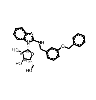 OC[C@H]1O[C@@H](n2c(NCc3cccc(OCc4ccccc4)c3)nc3ccccc32)[C@H](O)[C@@H]1O